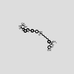 C[C@@H]1CNc2c(sc3ccc4nc(-c5ccc(C6CCC(NC(=O)CCCCCCCc7ccc8c(c7)n(C)c(=O)n8C7CCC(=O)NC7=O)CC6)cc5)ccc4c23)C(=O)N1